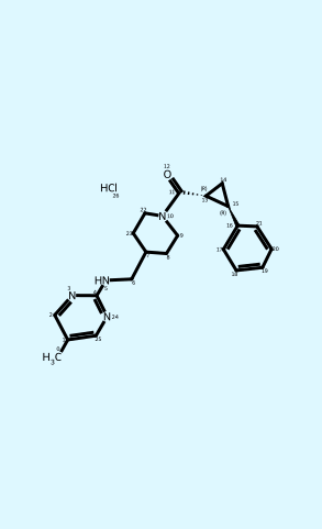 Cc1cnc(NCC2CCN(C(=O)[C@@H]3C[C@H]3c3ccccc3)CC2)nc1.Cl